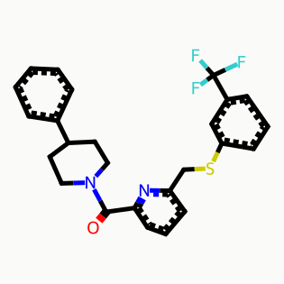 O=C(c1cccc(CSc2cccc(C(F)(F)F)c2)n1)N1CCC(c2ccccc2)CC1